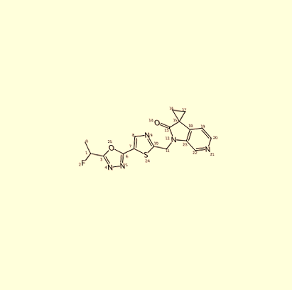 CC(F)c1nnc(-c2cnc(CN3C(=O)C4(CC4)c4ccncc43)s2)o1